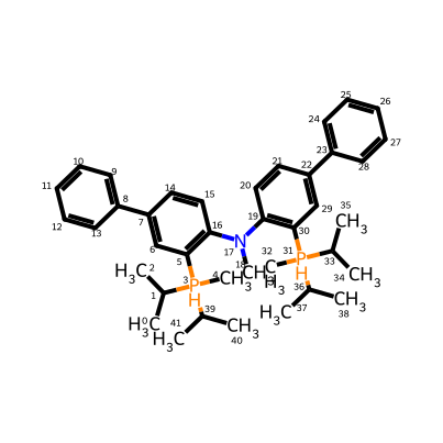 CC(C)[PH](C)(c1cc(-c2ccccc2)ccc1N(C)c1ccc(-c2ccccc2)cc1[PH](C)(C(C)C)C(C)C)C(C)C